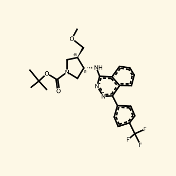 COC[C@@H]1CN(C(=O)OC(C)(C)C)C[C@H]1Nc1nnc(-c2ccc(C(F)(F)F)cc2)c2ccccc12